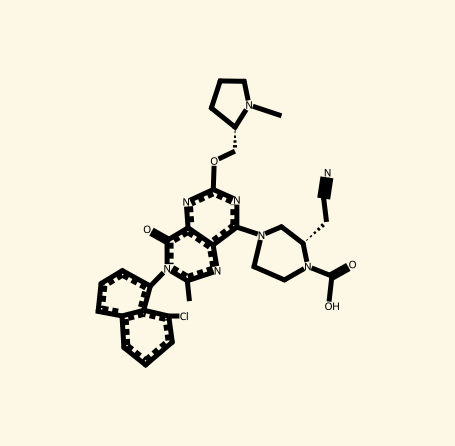 Cc1nc2c(N3CCN(C(=O)O)[C@@H](CC#N)C3)nc(OC[C@@H]3CCCN3C)nc2c(=O)n1-c1cccc2cccc(Cl)c12